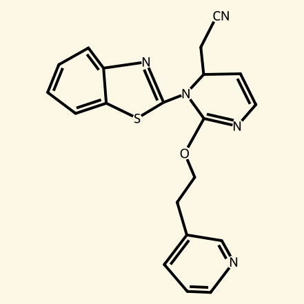 N#CCC1C=CN=C(OCCc2cccnc2)N1c1nc2ccccc2s1